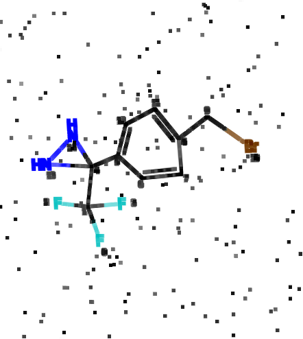 FC(F)(F)C1(c2ccc(CBr)cc2)NN1